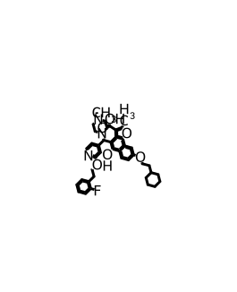 Cc1oc2c(c1C(=O)O)c(C(c1ccnc(OCCc3ccccc3F)c1)N1CCN(C)CC1)c(O)c1ccc(OCCC3CCCCC3)cc12